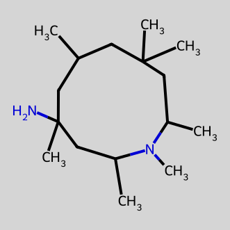 CC1CC(C)(C)CC(C)N(C)C(C)CC(C)(N)C1